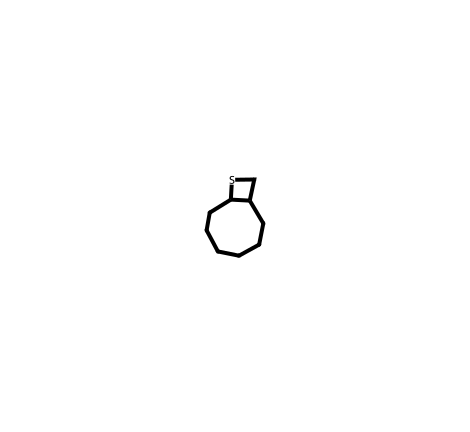 C1CCCC2SCC2CC1